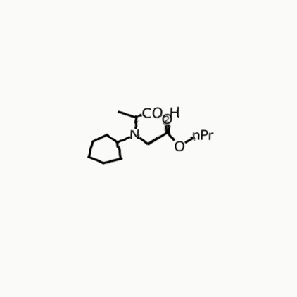 CCCOC(=O)CN(C1CCCCC1)[C@@H](C)C(=O)O